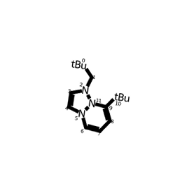 CC(C)(C)CN1C=CN2C=CC=C(C(C)(C)C)N21